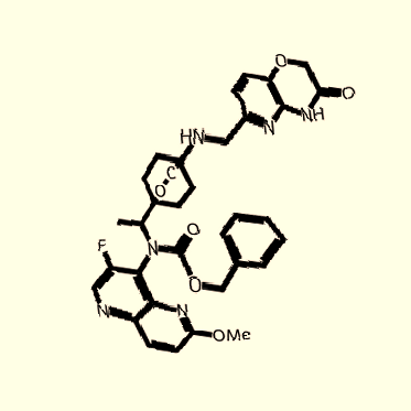 COc1ccc2ncc(F)c(N(C(=O)OCc3ccccc3)C(C)C34CCC(NCc5ccc6c(n5)NC(=O)CO6)(CC3)CO4)c2n1